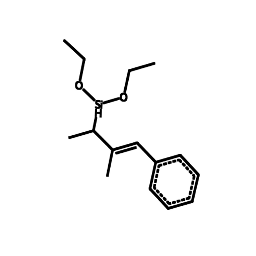 CCO[SiH](OCC)C(C)C(C)=Cc1ccccc1